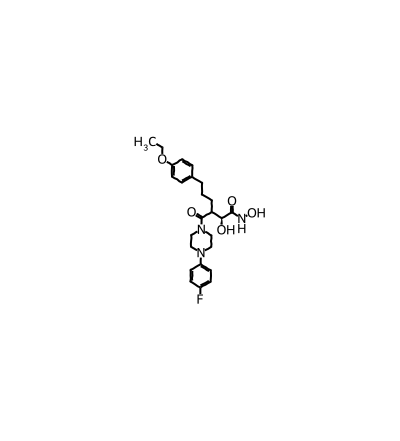 CCOc1ccc(CCCC(C(=O)N2CCN(c3ccc(F)cc3)CC2)[C@H](O)C(=O)NO)cc1